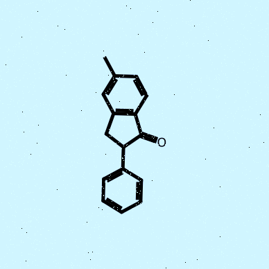 Cc1ccc2c(c1)CC(c1ccccc1)C2=O